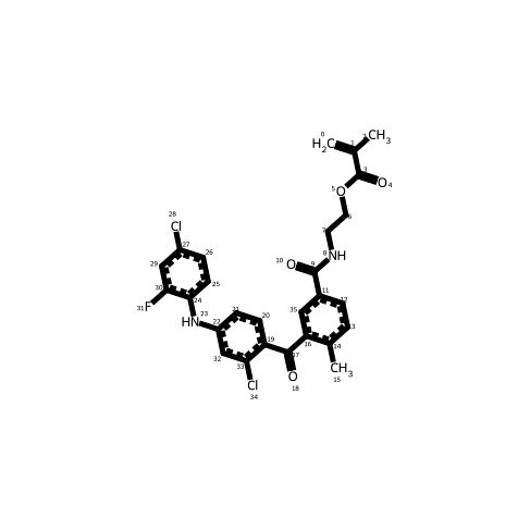 C=C(C)C(=O)OCCNC(=O)c1ccc(C)c(C(=O)c2ccc(Nc3ccc(Cl)cc3F)cc2Cl)c1